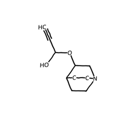 C#CC(O)OC1CN2CCC1CC2